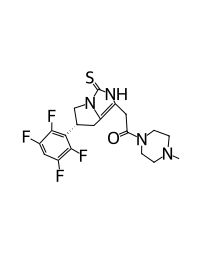 CN1CCN(C(=O)Cc2[nH]c(=S)n3c2C[C@H](c2c(F)c(F)cc(F)c2F)C3)CC1